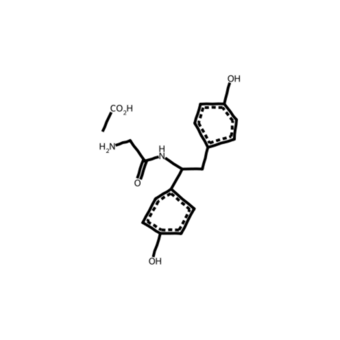 CC(=O)O.NCC(=O)NC(Cc1ccc(O)cc1)c1ccc(O)cc1